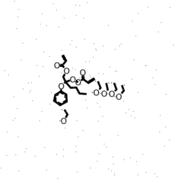 C=CC(=O)OCC(CCCC)(OOC(=O)C=C)Oc1ccccc1.[CH2]C[O].[CH2]C[O].[CH2]C[O].[CH2]C[O].[CH2]C[O]